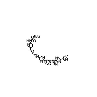 Cn1cc(-c2cnc3c(nnn3C[C@@H]3CN(c4ncc(N5CC(COCc6ccc(NC(=O)OC(C)(C)C)nc6)C5)cn4)CCO3)n2)cn1